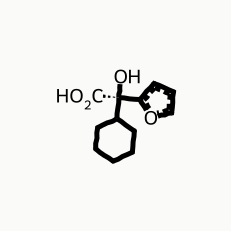 O=C(O)[C@](O)(c1ccco1)C1CCCCC1